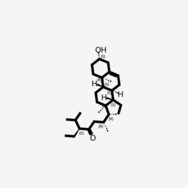 CC[C@H](C(=O)C[C@@H](C)[C@H]1CC[C@H]2[C@@H]3CC=C4C[C@@H](O)CC[C@]4(C)[C@H]3CC[C@]12C)C(C)C